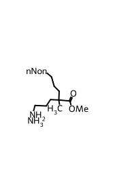 CCCCCCCCCCCCC(C)(CCCN)C(=O)OC.N